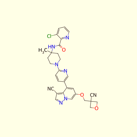 CC1(NC(=O)c2ncccc2Cl)CCN(c2ccc(-c3cc(OCC4(C#N)COC4)cn4ncc(C#N)c34)cn2)CC1